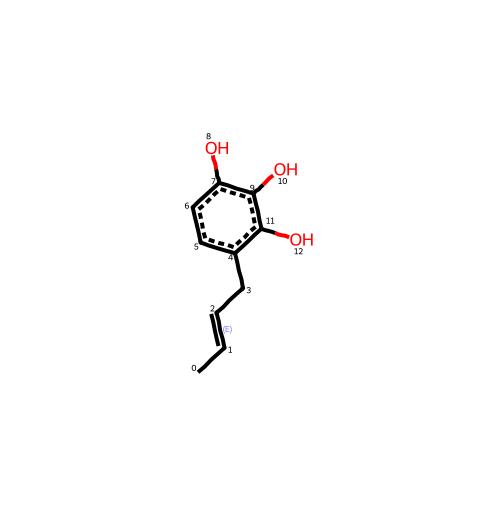 C/C=C/Cc1ccc(O)c(O)c1O